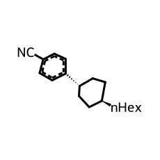 CCCCCC[C@H]1CC[C@H](c2ccc(C#N)cc2)CC1